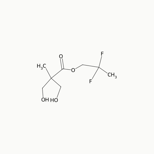 CC(F)(F)COC(=O)C(C)(CO)CO